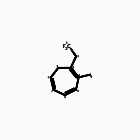 CC1=C(CC(F)(F)F)CC=CC=C1